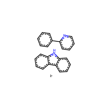 [Ir].c1ccc(-c2ccccn2)cc1.c1ccc2c(c1)[nH]c1ccccc12